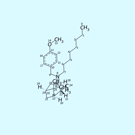 CCCCCCCCN(Cc1ccc(OC)cc1)[C@@H]1C[C@@H]2C[C@H]([C@H]1C)C2(C)C